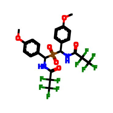 COc1ccc(C(NC(=O)C(F)(F)C(F)(F)F)S(=O)(=O)C(NC(=O)C(F)(F)C(F)(F)F)c2ccc(OC)cc2)cc1